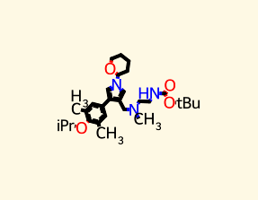 Cc1cc(-c2cn(C3CCCCO3)cc2CN(C)CCNC(=O)OC(C)(C)C)cc(C)c1OC(C)C